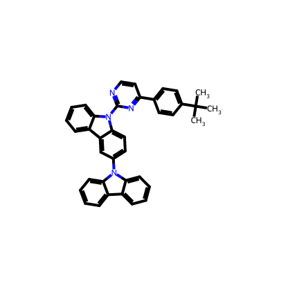 CC(C)(C)c1ccc(-c2ccnc(-n3c4ccccc4c4cc(-n5c6ccccc6c6ccccc65)ccc43)n2)cc1